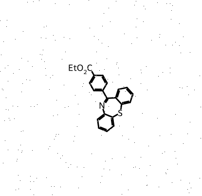 CCOC(=O)c1ccc(C2=Nc3ccccc3Sc3ccccc32)cc1